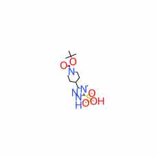 CN1C(C2CCN(C(=O)OC(C)(C)C)CC2)=NNC1S(=O)(=O)O